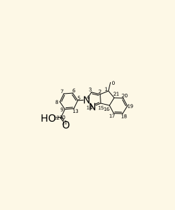 CC1c2cn(-c3cccc(C(=O)O)c3)nc2C2C=CC=CC12